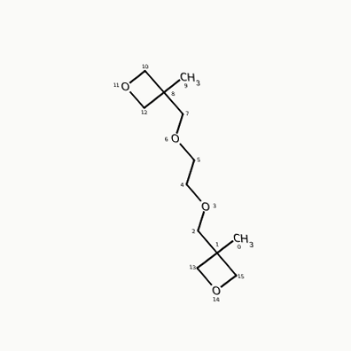 CC1(COCCOCC2(C)COC2)COC1